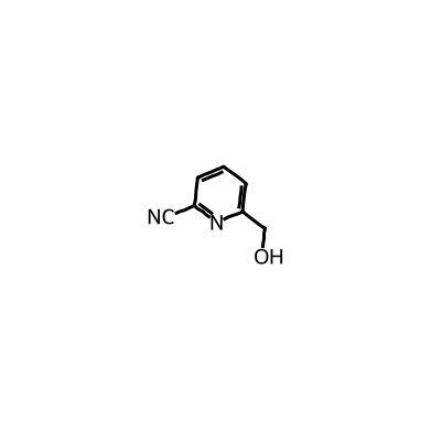 N#Cc1cccc(CO)n1